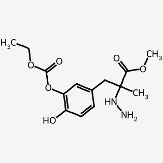 CCOC(=O)Oc1cc(CC(C)(NN)C(=O)OC)ccc1O